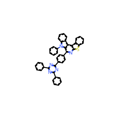 c1ccc(-c2nc(-c3ccccc3)nc(-c3ccc(-c4nc5sc6ccccc6c5c5c6ccccc6n(-c6ccccc6)c45)cc3)n2)cc1